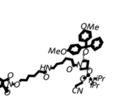 COc1ccc(C(OC[C@@H]2C[C@@H](OP(OCCC#N)N(C(C)C)C(C)C)CN2C(=O)CCCCCNC(=O)CCCCCON2C(=O)c3ccccc3C2=O)(c2ccccc2)c2ccc(OC)cc2)cc1